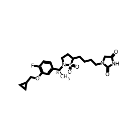 C[C@H](c1ccc(F)c(OCC2CC2)c1)N1CCC(CCCCN2CC(=O)NC2=O)S1(=O)=O